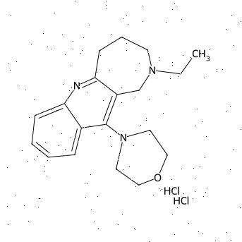 CCN1CCCc2nc3ccccc3c(N3CCOCC3)c2C1.Cl.Cl